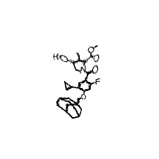 COC(=O)[C@@H]1C(C)[C@@H](O)CN1C(=O)c1cc(C2CC2)c(OCC23CC4CC(CC(C4)C2)C3)cc1F